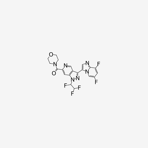 O=C(c1cc2c(cn1)c(-c1cnc3c(F)cc(F)cn13)nn2C(F)C(F)F)N1CCOCC1